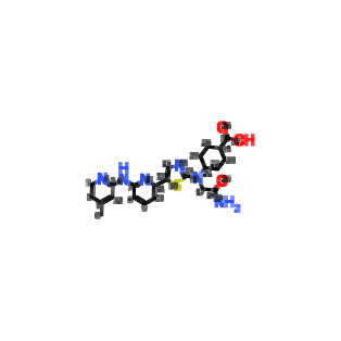 Cc1ccnc(Nc2cccc(-c3cnc(N(CC(N)=O)C4CCC(C(=O)O)CC4)s3)n2)c1